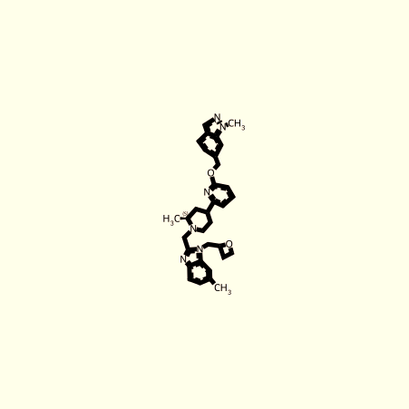 Cc1ccc2nc(CN3CCC(c4cccc(OCc5ccc6cnn(C)c6c5)n4)C[C@@H]3C)n(CC3CCO3)c2c1